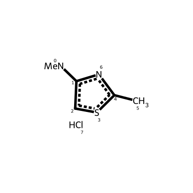 CNc1csc(C)n1.Cl